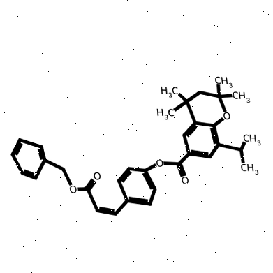 CC(C)c1cc(C(=O)Oc2ccc(/C=C\C(=O)OCc3ccccc3)cc2)cc2c1OC(C)(C)CC2(C)C